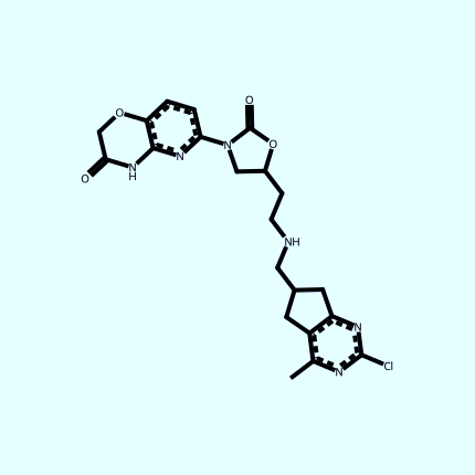 Cc1nc(Cl)nc2c1CC(CNCCC1CN(c3ccc4c(n3)NC(=O)CO4)C(=O)O1)C2